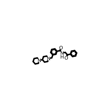 O=C(CNC(=O)c1cccc(CN2CCC(N3CCCCC3)CC2)c1)c1ccccc1